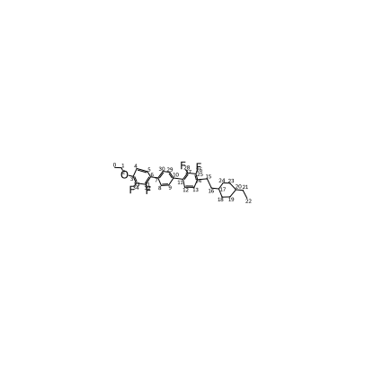 CCOc1ccc(-c2ccc(-c3ccc(CCC4CCC(CC)CC4)c(F)c3F)cc2)c(F)c1F